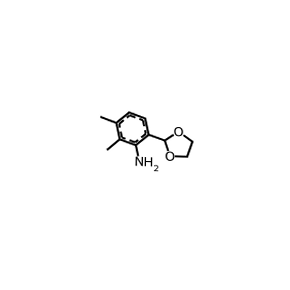 Cc1ccc(C2OCCO2)c(N)c1C